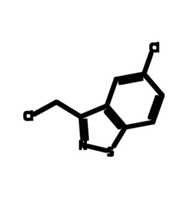 ClCc1nsc2ccc(Cl)cc12